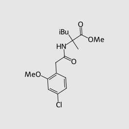 CCC(C)C(C)(NC(=O)Cc1ccc(Cl)cc1OC)C(=O)OC